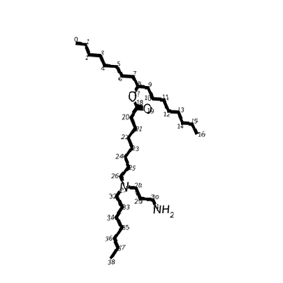 CCCCCCCCC(CCCCCCCC)OC(=O)CCCCCCCN(CCCN)CCCCCCC